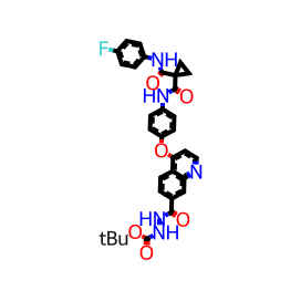 CC(C)(C)OC(=O)NNC(=O)c1ccc2c(Oc3ccc(NC(=O)C4(C(=O)Nc5ccc(F)cc5)CC4)cc3)ccnc2c1